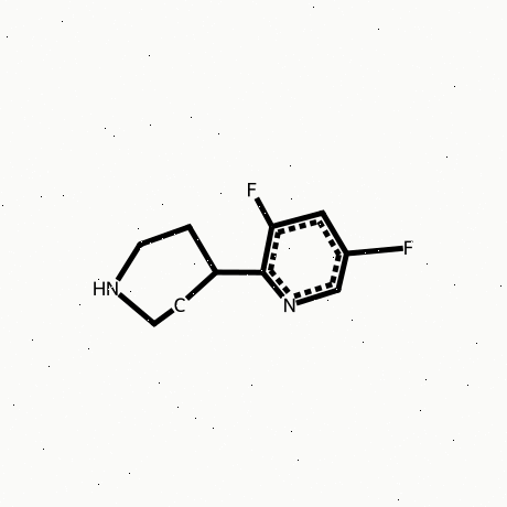 Fc1cnc(C2CCNCC2)c(F)c1